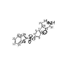 O=S(=O)(Oc1ccc2c(c1)OC1CNCCC21)c1cc2ccccc2s1